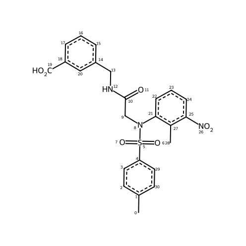 Cc1ccc(S(=O)(=O)N(CC(=O)NCc2cccc(C(=O)O)c2)c2cccc([N+](=O)[O-])c2C)cc1